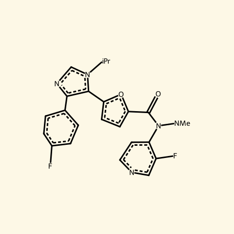 CNN(C(=O)c1ccc(-c2c(-c3ccc(F)cc3)ncn2C(C)C)o1)c1ccncc1F